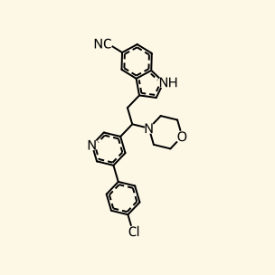 N#Cc1ccc2[nH]cc(CC(c3cncc(-c4ccc(Cl)cc4)c3)N3CCOCC3)c2c1